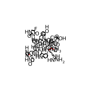 CC(=O)O.CCNC(=O)[C@@H]1CCCN1C(=O)[C@H](CCCNC(=N)N)NC(=O)[C@H](CC(C)C)NC(=O)[C@@H](CC(C)C)NC(=O)[C@H](Cc1ccc(O)cc1)NC(=O)[C@H](CO)NC(=O)[C@H](Cc1c[nH]c2ccccc12)NC(=O)[C@H](Cc1cnc[nH]1)NC(=O)[C@@H]1CCC(=O)N1.O=c1[nH]cc(F)c(=O)[nH]1